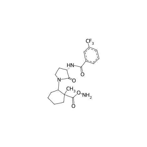 CC1(C(=O)ON)CCCCC1N1CC[C@H](NC(=O)c2cccc(C(F)(F)F)c2)C1=O